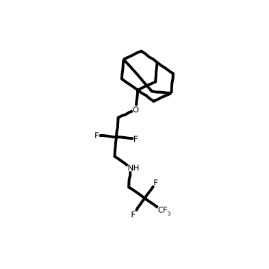 FC(F)(CNCC(F)(F)C(F)(F)F)COC12CC3CC(CC(C3)C1)C2